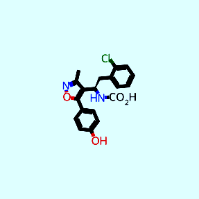 Cc1noc(-c2ccc(O)cc2)c1[C@@H](Cc1ccccc1Cl)NC(=O)O